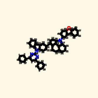 c1ccc(-c2cc(-c3ccccc3)nc(-n3c4ccccc4c4cc(-c5ccc6c7c5ccc5cccc(c57)n6-c5ccc6oc7ccccc7c6c5)ccc43)n2)cc1